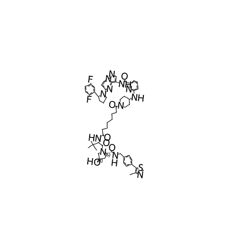 Cc1ncsc1-c1ccc(CNC(=O)[C@@H]2C[C@@H](O)CN2C(=O)C(NC(=O)CCCCCCC(=O)N2CCC(Nc3cccc(C(=O)Nc4cnn5ccc(N6CCCC6c6cc(F)ccc6F)nc45)n3)CC2)C(C)(C)C)cc1